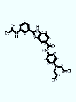 CCC(=O)Nc1cccc(-c2nc3cc(C(=O)Nc4ccc(N(CCCl)CCCl)cc4)ccc3[nH]2)c1